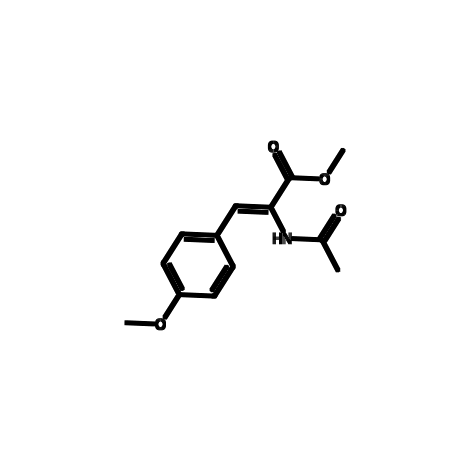 COC(=O)C(=Cc1ccc(OC)cc1)NC(C)=O